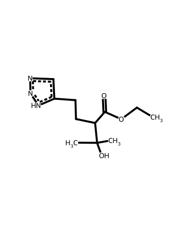 CCOC(=O)C(CCc1cnn[nH]1)C(C)(C)O